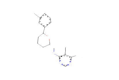 Cc1cccc(C2CCC[C@@H](CNc3ncnc(C(=O)O)c3C)O2)c1